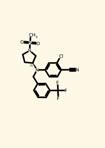 CS(=O)(=O)N1CC[C@H](N(Cc2cccc(C(F)(F)F)c2)c2ccc(C#N)c(Cl)c2)C1